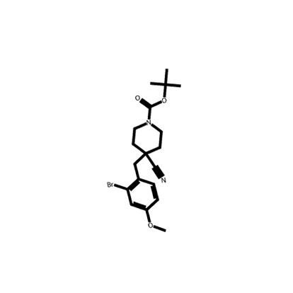 COc1ccc(CC2(C#N)CCN(C(=O)OC(C)(C)C)CC2)c(Br)c1